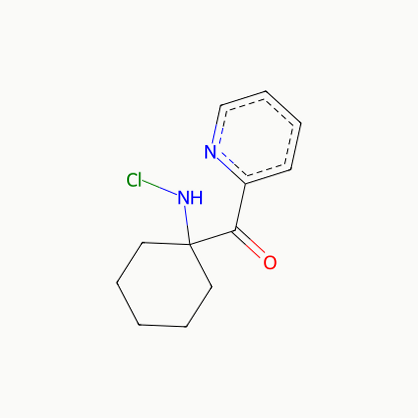 O=C(c1ccccn1)C1(NCl)CCCCC1